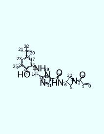 C=CC(=O)N1CC(NC(=O)c2cnc(CNc3cc(C(C)(C)C)cc(C)c3O)n2C)C1